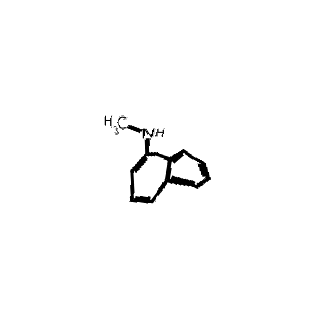 CNc1cc[c]c2ccccc12